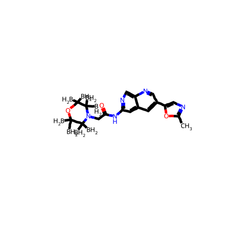 BC1(B)OC(B)(B)C(B)(B)N(CC(=O)Nc2cc3cc(-c4cnc(C)o4)cnc3cn2)C1(B)B